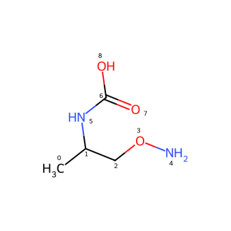 CC(CON)NC(=O)O